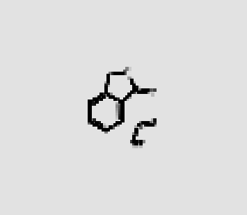 C=CCCC.O=C1OCc2ccccc21